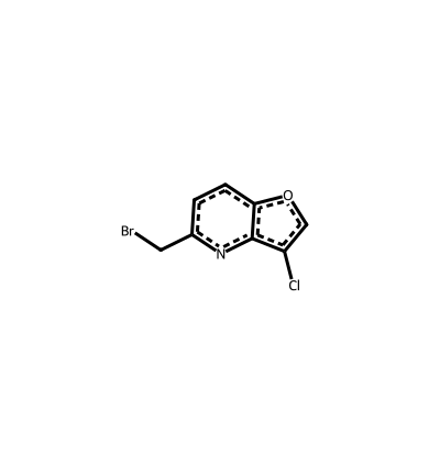 Clc1coc2ccc(CBr)nc12